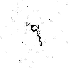 CCCCCOc1ccc(Br)cn1